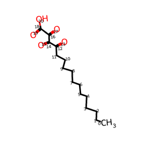 CCCCCCCCCCCCC(=O)C(=O)C(=O)C(=O)O